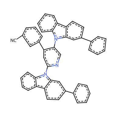 N#Cc1cccc(-c2cc(-n3c4ccccc4c4ccc(-c5ccccc5)cc43)ncc2-n2c3ccccc3c3ccc(-c4ccccc4)cc32)c1